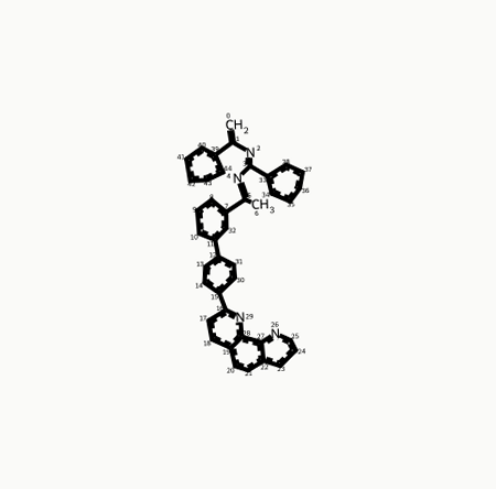 C=C(/N=C(\N=C(/C)c1cccc(-c2ccc(-c3ccc4ccc5cccnc5c4n3)cc2)c1)c1ccccc1)c1ccccc1